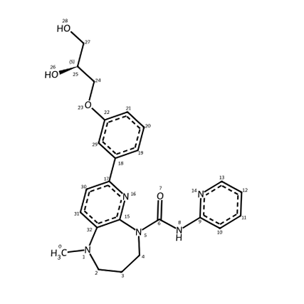 CN1CCCN(C(=O)Nc2ccccn2)c2nc(-c3cccc(OC[C@@H](O)CO)c3)ccc21